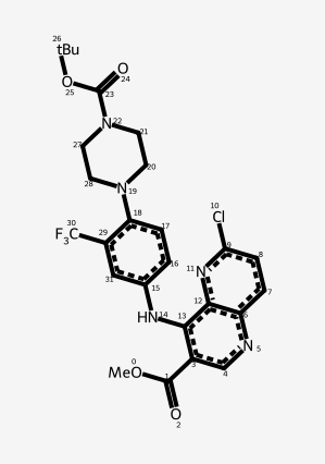 COC(=O)c1cnc2ccc(Cl)nc2c1Nc1ccc(N2CCN(C(=O)OC(C)(C)C)CC2)c(C(F)(F)F)c1